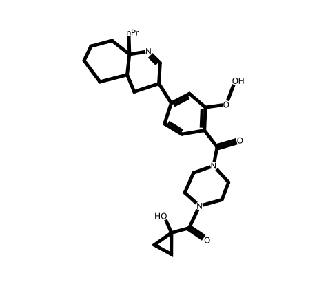 CCCC12CCCCC1CC(c1ccc(C(=O)N3CCN(C(=O)C4(O)CC4)CC3)c(OO)c1)C=N2